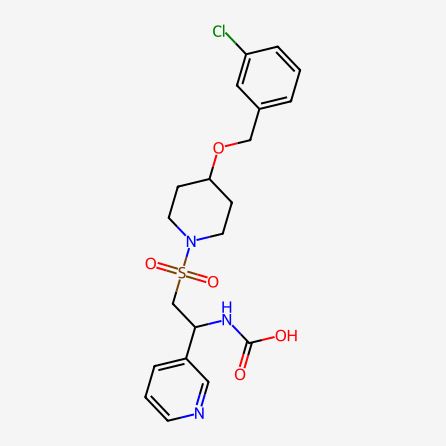 O=C(O)NC(CS(=O)(=O)N1CCC(OCc2cccc(Cl)c2)CC1)c1cccnc1